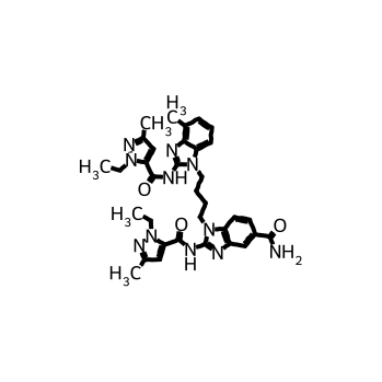 CCn1nc(C)cc1C(=O)Nc1nc2cc(C(N)=O)ccc2n1CCCCn1c(NC(=O)c2cc(C)nn2CC)nc2c(C)cccc21